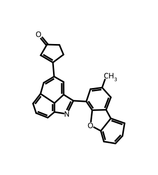 Cc1cc(C2=Nc3cccc4cc(C5=CC(=O)CC5)cc2c34)c2oc3ccccc3c2c1